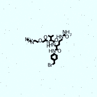 CC(C)C(NC(=O)COCCN=[N+]=[N-])C(=O)NC(CCCNC(N)=O)C(=O)Nc1ccc(CBr)cc1